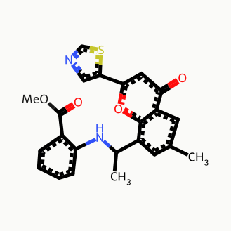 COC(=O)c1ccccc1NC(C)c1cc(C)cc2c(=O)cc(-c3cncs3)oc12